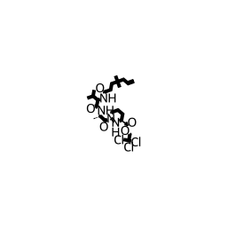 C=CCC(C)(C)CCC(=O)NC(C(=O)N[C@@H](C)C(=O)N1CCC[C@@H](C(=O)OCC(Cl)(Cl)Cl)N1)C(C)C